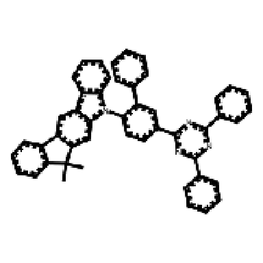 CC1(C)c2ccccc2-c2cc3c4ccccc4n(-c4ccc(-c5nc(-c6ccccc6)nc(-c6ccccc6)n5)cc4-c4ccccc4)c3cc21